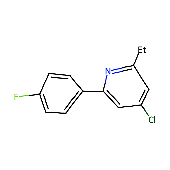 CCc1cc(Cl)cc(-c2ccc(F)cc2)n1